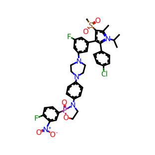 Cc1c(S(C)(=O)=O)c(-c2cc(F)cc(N3CCN(c4ccc(N5CCOP5(=O)c5ccc(F)c([N+](=O)[O-])c5)cc4)CC3)c2)c(-c2ccc(Cl)cc2)n1C(C)C